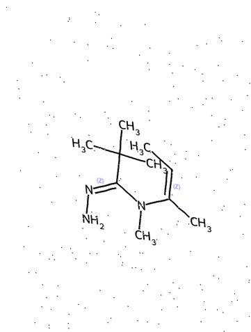 C/C=C(/C)N(C)/C(=N\N)C(C)(C)C